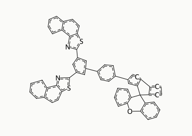 c1ccc2c(c1)Oc1ccccc1C21c2ccccc2-c2ccc(-c3ccc(-c4cc(-c5nc6c(ccc7ccccc76)s5)cc(-c5nc6c(ccc7ccccc76)s5)c4)cc3)cc21